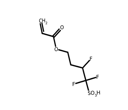 C=CC(=O)OCCC(F)C(F)(F)S(=O)(=O)O